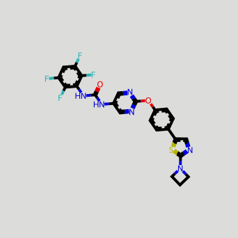 O=C(Nc1cnc(Oc2ccc(-c3cnc(N4CCC4)s3)cc2)nc1)Nc1c(F)c(F)cc(F)c1F